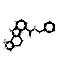 O=C(NCc1ccccc1)c1cccc2[nH]c3c(c12)CCc1cn[nH]c1-3